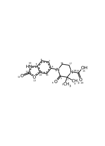 CC1(C)C(=O)N(c2ccc3[nH]c(=O)oc3c2)CCN1C(=O)O